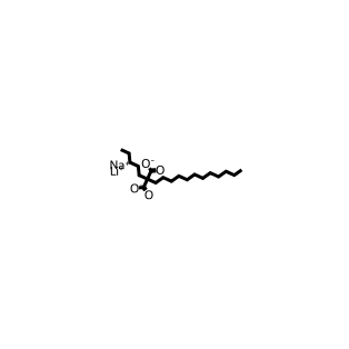 CCCCCCCCCCCCC(CCCCC)(C(=O)[O-])C(=O)[O-].[Li+].[Na+]